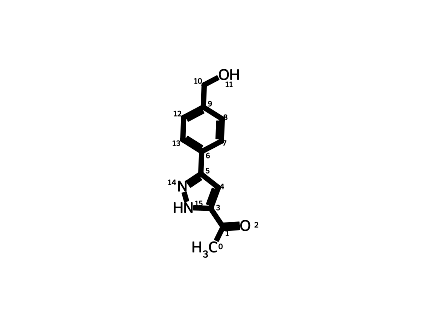 CC(=O)c1cc(-c2ccc(CO)cc2)n[nH]1